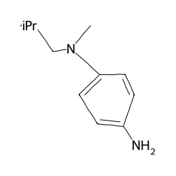 C[C](C)CN(C)c1ccc(N)cc1